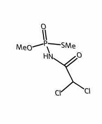 COP(=O)(NC(=O)C(Cl)Cl)SC